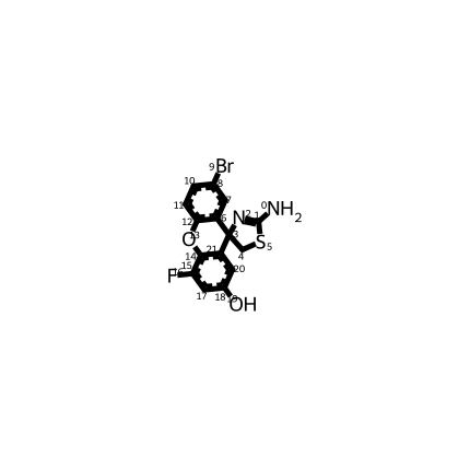 NC1=NC2(CS1)c1cc(Br)ccc1Oc1c(F)cc(O)cc12